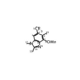 COc1c(I)c(C(F)(F)F)cc2c1nc(C)n2C